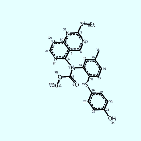 CCSc1ncc2c(N(C(=O)OC(C)(C)C)c3cc(C)ccc3Sc3ccc(O)cc3)ncnc2n1